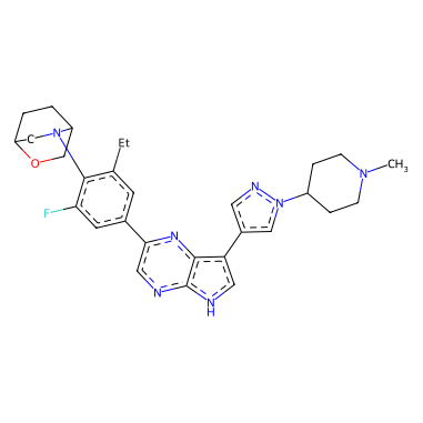 CCc1cc(-c2cnc3[nH]cc(-c4cnn(C5CCN(C)CC5)c4)c3n2)cc(F)c1N1CC2CCC1CO2